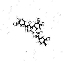 O=C(Nc1ccc(F)c(Cl)c1)N1CCN(C(=O)Nc2ccc(F)c(Cl)c2)c2cc(F)c(F)cc21